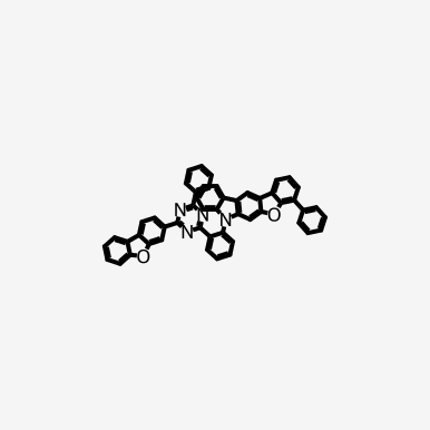 c1ccc(-c2nc(-c3ccc4c(c3)oc3ccccc34)nc(-c3ccccc3-n3c4ccccc4c4cc5c(cc43)oc3c(-c4ccccc4)cccc35)n2)cc1